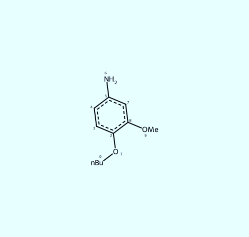 CCCCOc1ccc(N)cc1OC